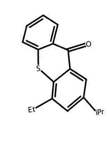 CCc1cc(C(C)C)cc2c(=O)c3ccccc3sc12